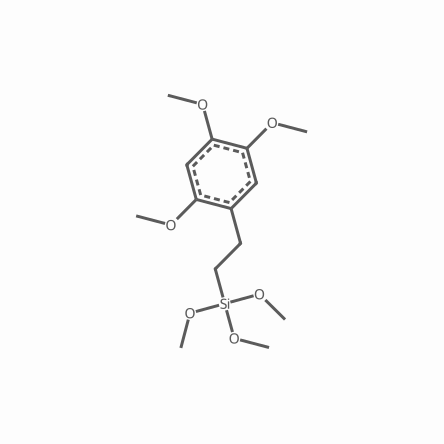 COc1cc(OC)c(OC)cc1CC[Si](OC)(OC)OC